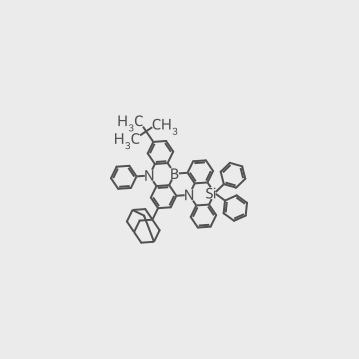 CC(C)(C)c1ccc2c(c1)N(c1ccccc1)c1cc(C34CC5CC(CC(C5)C3)C4)cc3c1B2c1cccc2c1N3c1ccccc1[Si]2(c1ccccc1)c1ccccc1